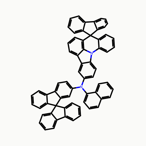 c1ccc2c(c1)-c1ccccc1C21c2ccccc2-c2ccc(N(c3ccc4c(c3)c3cccc5c3n4-c3ccccc3C53c4ccccc4-c4ccccc43)c3cccc4ccccc34)cc21